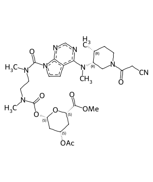 COC(=O)[C@@H]1C[C@H](OC(C)=O)C[C@H](OC(=O)N(C)CCN(C)C(=O)n2ccc3c(N(C)[C@H]4CN(C(=O)CC#N)CC[C@H]4C)ncnc32)O1